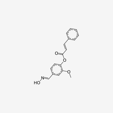 COc1cc(/C=N/O)ccc1OC(=O)/C=C/c1ccccc1